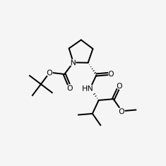 COC(=O)[C@@H](NC(=O)[C@H]1CCCN1C(=O)OC(C)(C)C)C(C)C